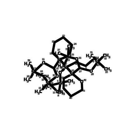 CC[CH][Si](O[Si](C)(C)C)([Si]1(C(O[Si](C)(C)C)O[Si](C)(C)C)CCCCO1)[Si]1(C(O[Si](C)(C)C)O[Si](C)(C)C)CCCCO1